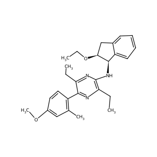 CCO[C@H]1Cc2ccccc2[C@H]1Nc1nc(CC)c(-c2ccc(OC)cc2C)nc1CC